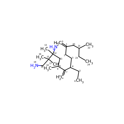 C=C(CCC(CC)C(=C)C(C)CC(C)(N)C(C)(C)CN)CC(C)CC